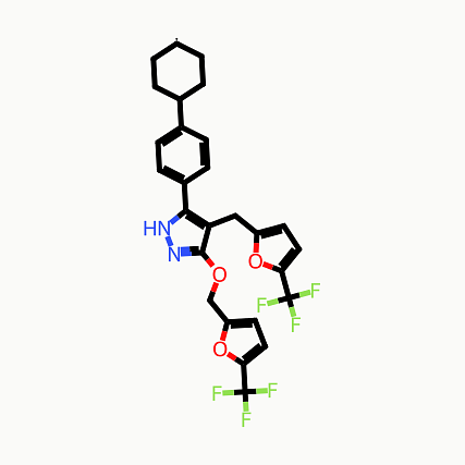 FC(F)(F)c1ccc(COc2n[nH]c(-c3ccc(C4CC[CH]CC4)cc3)c2Cc2ccc(C(F)(F)F)o2)o1